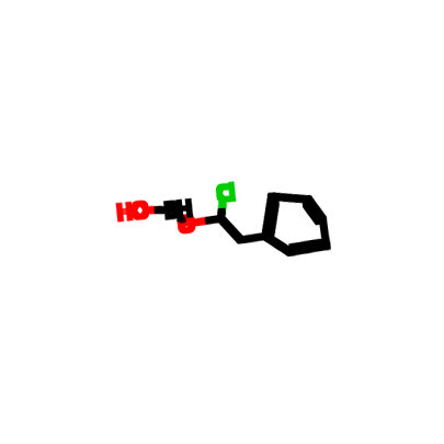 OBOC(Cl)Cc1ccccc1